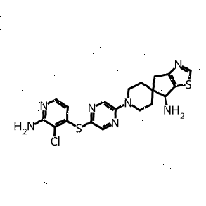 Nc1nccc(Sc2cnc(N3CCC4(CC3)Cc3ncsc3[C@H]4N)cn2)c1Cl